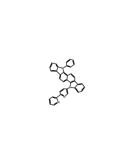 c1ccc(-n2c3ccccc3c3ccc4c(ccc5c6ccccc6n(-c6ccc(-c7ccccn7)nc6)c54)c32)cc1